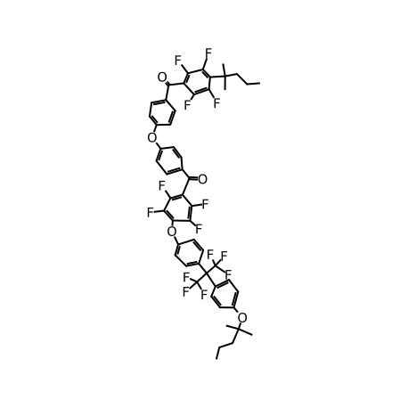 CCCC(C)(C)Oc1ccc(C(c2ccc(Oc3c(F)c(F)c(C(=O)c4ccc(Oc5ccc(C(=O)c6c(F)c(F)c(C(C)(C)CCC)c(F)c6F)cc5)cc4)c(F)c3F)cc2)(C(F)(F)F)C(F)(F)F)cc1